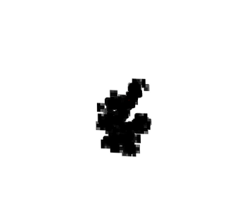 CC1=CN([C@H]2CC(OP(=O)(S)OC[C@H]3O[C@@H](n4c(=O)[nH]c5c(=O)[nH]c(N)nc54)CC3OP(=O)(S)OC[C@H]3O[C@@H](n4cc(C)c(=O)[nH]c4=O)CC3OP(=O)(S)OC[C@H]3O[C@@H](n4ccc(N)nc4=O)CC3C(C)C)[C@@H](COP(=O)(S)OC3C[C@H](n4cnc5c(=O)[nH]c(N)nc54)O[C@@H]3COP(=O)(S)OC(C)C)O2)C(O)NC1=O